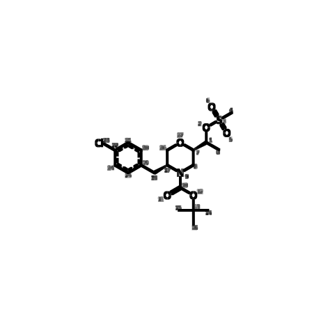 CC(OS(C)(=O)=O)[C@H]1CN(C(=O)OC(C)(C)C)[C@@H](Cc2ccc(Cl)cc2)CO1